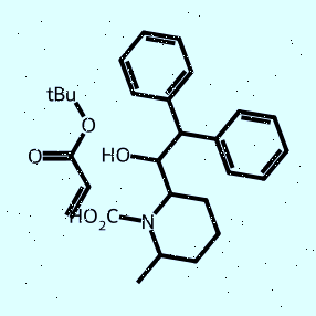 C=CC(=O)OC(C)(C)C.CC1CCCC(C(O)C(c2ccccc2)c2ccccc2)N1C(=O)O